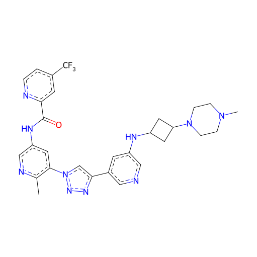 Cc1ncc(NC(=O)c2cc(C(F)(F)F)ccn2)cc1-n1cc(-c2cncc(NC3CC(N4CCN(C)CC4)C3)c2)nn1